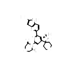 CC[C@H]1COCC(=O)N1c1cc(C2(S(C)(=O)=O)CCOCC2)cc(-c2ccc3[nH]c(C)cc3n2)n1